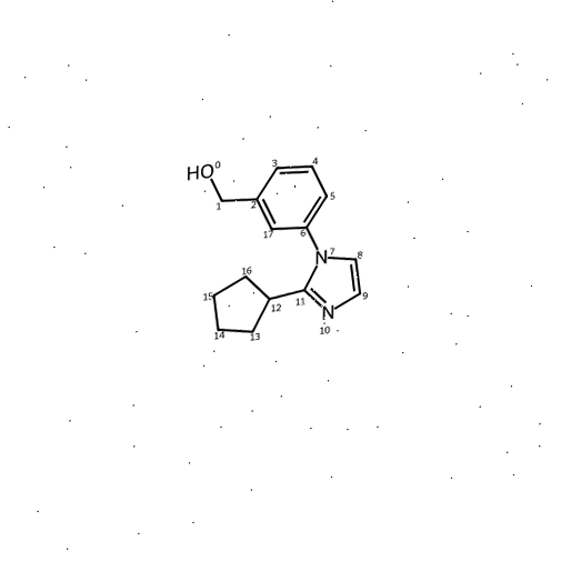 OCc1cccc(-n2ccnc2C2CCCC2)c1